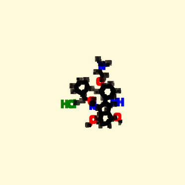 COc1ccc(OC)c2c1C(=NOCc1ccccc1)c1c-2[nH]c2ccc(OCCN(C)C)cc12.Cl